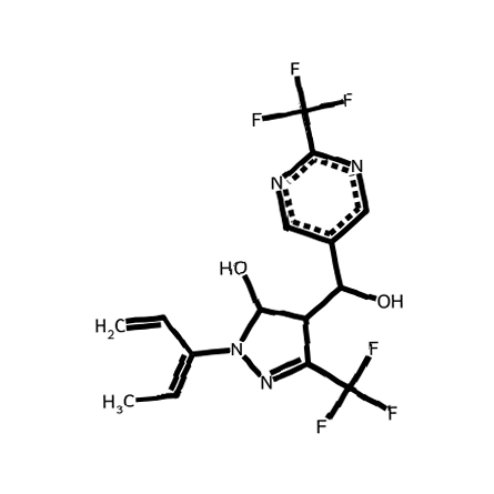 C=C/C(=C\C)N1N=C(C(F)(F)F)C(C(O)c2cnc(C(F)(F)F)nc2)C1O